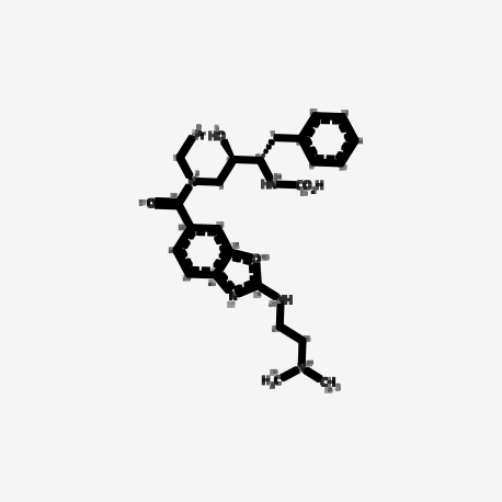 CC(C)CN(C[C@@H](O)[C@H](Cc1ccccc1)NC(=O)O)C(=O)c1ccc2nc(NCCN(C)C)oc2c1